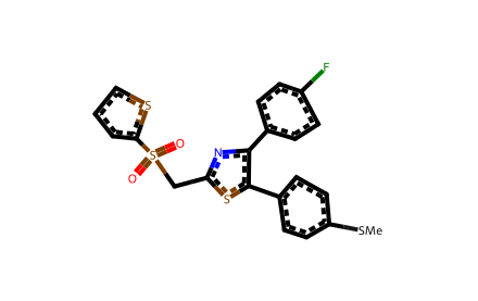 CSc1ccc(-c2sc(CS(=O)(=O)c3cccs3)nc2-c2ccc(F)cc2)cc1